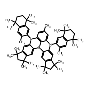 Cc1cc2c3c(c1)N(c1cc4c(cc1C)C(C)(C)CCC4(C)C)c1cc4c(cc1B3c1cc3c(cc1N2c1cc2c(cc1C)C(C)(C)CCC2(C)C)C(C)(C)CC3(C)C)C(C)(C)CC4(C)C